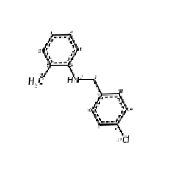 Cc1ccccc1NCc1ccc(Cl)cc1